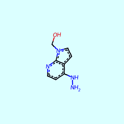 NNc1ccnc2c1ccn2CO